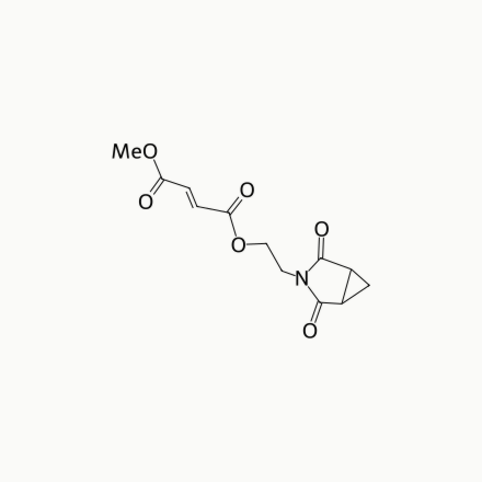 COC(=O)C=CC(=O)OCCN1C(=O)C2CC2C1=O